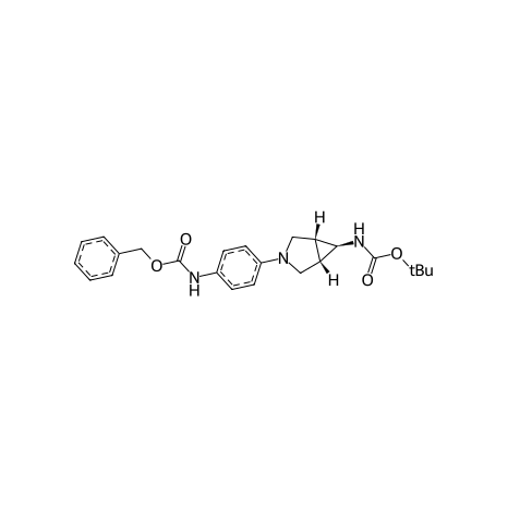 CC(C)(C)OC(=O)N[C@H]1[C@@H]2CN(c3ccc(NC(=O)OCc4ccccc4)cc3)C[C@@H]21